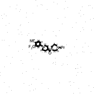 CC(C)N1CCCN(C(=O)C2CCN(c3ccc(C#N)c(C(F)(F)F)c3)CC2)CC1